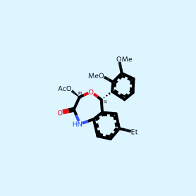 CCc1ccc2c(c1)[C@@H](c1cccc(OC)c1OC)O[C@H](OC(C)=O)C(=O)N2